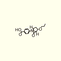 CCCO[C@@H]1C[C@@H]2C[C@H]1C(=O)N2c1ccc(C(=O)O)cc1